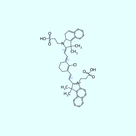 CC1(C)C2=c3ccccc3=CCC2N(CCS(=O)(=O)O)/C1=C/C=C1\CCCC(/C=C/C2=[N+](CCS(=O)(=O)O)c3ccc4ccccc4c3C2(C)C)=C1Cl